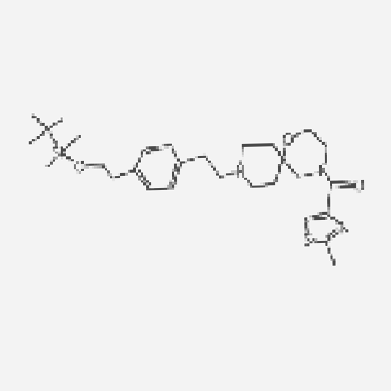 Cc1nc(C(=O)N2CCOC3(CCN(CCc4ccc(CCO[Si](C)(C)C(C)(C)C)cc4)CC3)C2)cs1